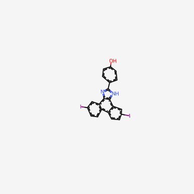 Oc1ccc(-c2nc3c4cc(I)ccc4c4ccc(I)cc4c3[nH]2)cc1